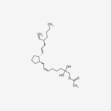 C=C[C@H](C/C=C/[C@H]1CCC[C@@H]1C/C=C\CCCC(O)(O)COC(C)=O)CCCC